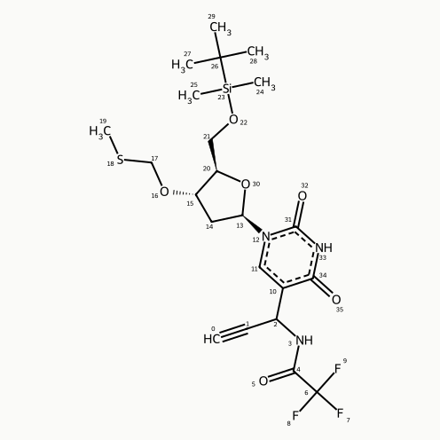 C#CC(NC(=O)C(F)(F)F)c1cn([C@H]2C[C@H](OCSC)[C@@H](CO[Si](C)(C)C(C)(C)C)O2)c(=O)[nH]c1=O